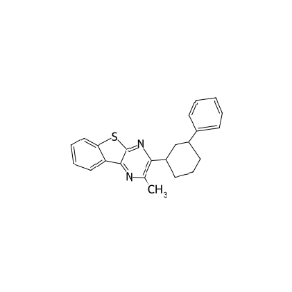 Cc1nc2c(nc1C1CCCC(c3ccccc3)C1)sc1ccccc12